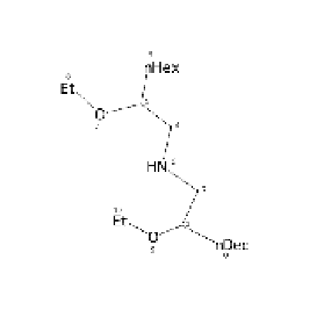 CCCCCCCCCCC(CNCC(CCCCCC)OCC)OCC